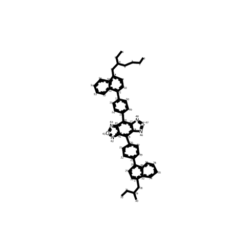 CCCCC(CC)Cc1ccc(-c2ccc(-c3c4c(c(-c5ccc(-c6ccc(CC(C)CC)c7ccccc67)cc5)c5nonc35)N=S=N4)cc2)c2ccccc12